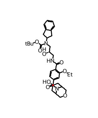 CCOc1cc(C(=O)N2C3COCC2CC(O)C3)ccc1C(=O)NC[C@@H](O)CN(C(=O)OC(C)(C)C)C1Cc2ccccc2C1